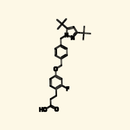 CC(C)(C)c1cc(C(C)(C)C)n(Cc2ccc(COc3ccc(CCC(=O)O)c(F)c3)cc2)n1